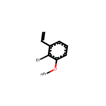 C=[C]c1cccc(OCCC)c1CC